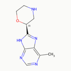 Cc1ncnc2[nH]c([C@@H]3CNCCO3)nc12